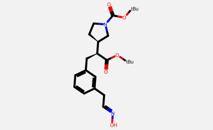 CC(C)(C)OC(=O)[C@@H](Cc1cccc(CC=NO)c1)[C@H]1CCN(C(=O)OC(C)(C)C)C1